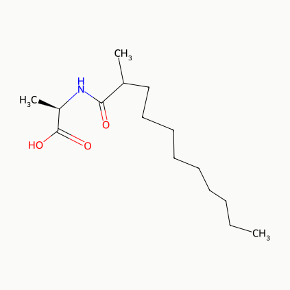 CCCCCCCCCC(C)C(=O)N[C@H](C)C(=O)O